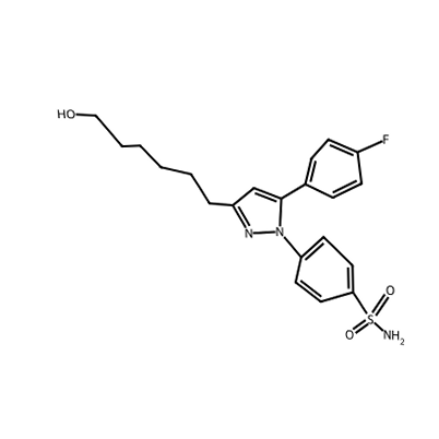 NS(=O)(=O)c1ccc(-n2nc(CCCCCCO)cc2-c2ccc(F)cc2)cc1